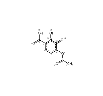 CC(=O)Oc1ccc(C(=O)O)n(O)c1=O